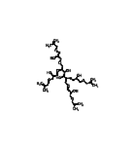 C=C(C)COCC(O)COCC(OCC(O)COCC(=C)C)C(O)C(O)C(COCC(O)COCC(=C)C)OCC(O)COCC(=C)C